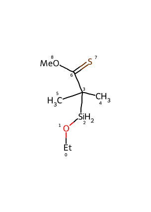 CCO[SiH2]C(C)(C)C(=S)OC